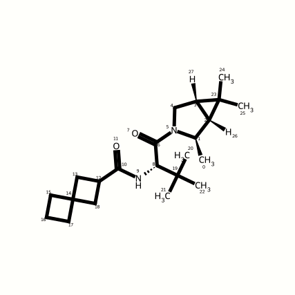 C[C@@H]1[C@@H]2[C@H](CN1C(=O)[C@@H](NC(=O)C1CC3(CCC3)C1)C(C)(C)C)C2(C)C